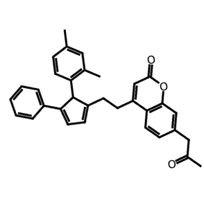 CC(=O)Cc1ccc2c(CCC3=CC=C(c4ccccc4)C3c3ccc(C)cc3C)cc(=O)oc2c1